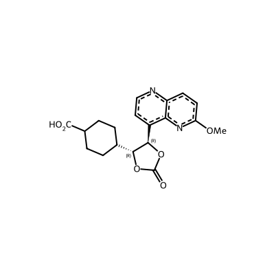 COc1ccc2nccc([C@H]3OC(=O)O[C@@H]3C3CCC(C(=O)O)CC3)c2n1